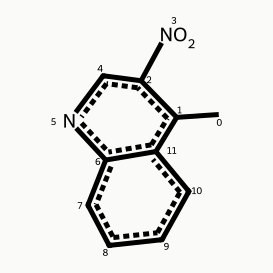 Cc1c([N+](=O)[O-])cnc2ccccc12